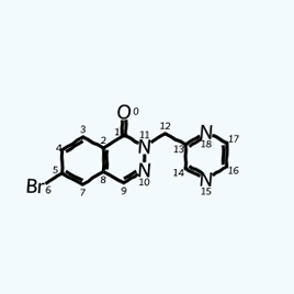 O=c1c2ccc(Br)cc2cnn1Cc1cnccn1